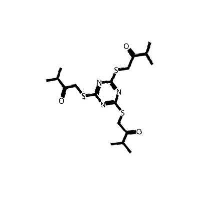 CC(C)C(=O)CSc1nc(SCC(=O)C(C)C)nc(SCC(=O)C(C)C)n1